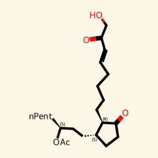 CCCCC[C@@H](CC[C@H]1CCC(=O)[C@@H]1CCCCC=CC(=O)CO)OC(C)=O